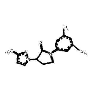 Cc1cc(C)cc(N2CCC(n3ccc(C)n3)C2=O)c1